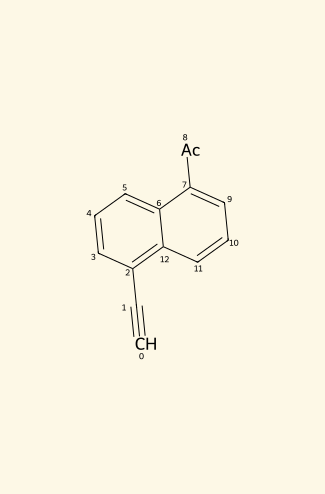 C#Cc1cccc2c(C(C)=O)cccc12